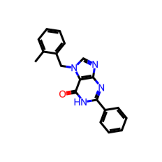 Cc1ccccc1Cn1cnc2nc(-c3ccccc3)[nH]c(=O)c21